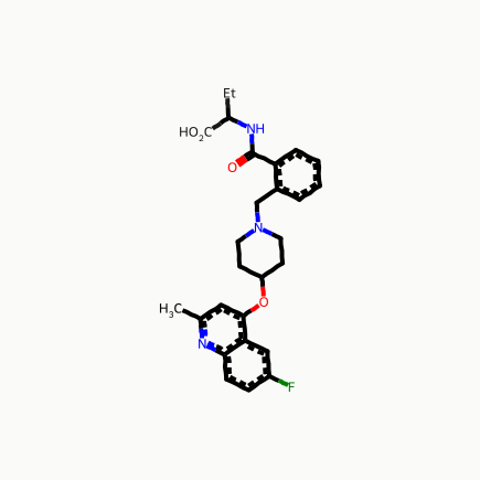 CCC(NC(=O)c1ccccc1CN1CCC(Oc2cc(C)nc3ccc(F)cc23)CC1)C(=O)O